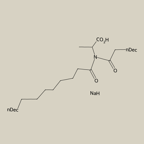 CCCCCCCCCCCCCCCCCC(=O)N(C(=O)CCCCCCCCCCC)C(C)C(=O)O.[NaH]